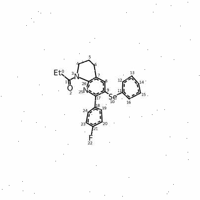 CCC(=O)N1CCCc2cc([Se]c3ccccc3)c(-c3ccc(F)cc3)nc21